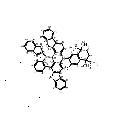 Cc1cc2c(cc1N1c3cc4c(sc5ccccc54)c4c3B(c3c1ccc1c3oc3ccccc31)n1c3oc5ccccc5c3c3cccc-4c31)C(C)(C)CCC2(C)C